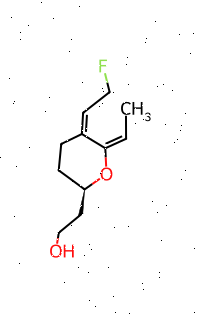 C/C=C1/O[C@@H](CCO)CC/C1=C/CF